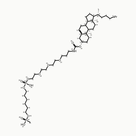 CC(C)CCC[C@@H](C)C1CCC2C3CC=C4C[C@@H](OC(=O)NCCCOCCOCCOCCOP(=O)(O)OCCCCCCOP(C)(=O)O)CC[C@]4(C)C3CC[C@@]21C